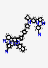 N#Cc1ccc(-n2c3ccccc3c3cc4c5ccccc5n(-c5ccc(-c6ccc(-c7ccc8c(c7)c7cc9c%10ccccc%10n(-c%10c(C#N)cc(C#N)cc%10C#N)c9cc7n8-c7ccc8ccccc8c7)cc6)cc5)c4cc32)c(C#N)c1